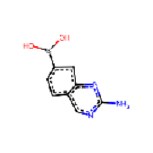 Nc1ncc2ccc(B(O)O)cc2n1